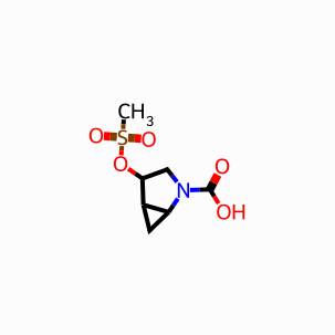 CS(=O)(=O)OC1CN(C(=O)O)C2CC12